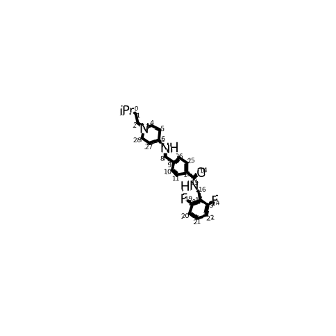 CC(C)CCN1CCC(NCc2ccc(C(=O)NCc3c(F)cccc3F)cc2)CC1